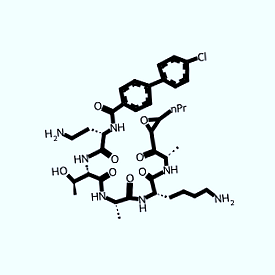 CCCC1OC1C(=O)[C@H](C)NC(=O)[C@H](CCCCN)NC(=O)[C@H](C)NC(=O)[C@@H](NC(=O)[C@H](CCN)NC(=O)c1ccc(-c2ccc(Cl)cc2)cc1)[C@@H](C)O